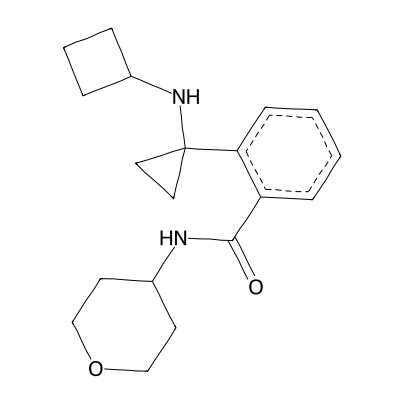 O=C(NC1CCOCC1)c1ccccc1C1(NC2CCC2)CC1